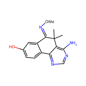 CON=C1c2cc(O)ccc2-c2ncnc(N)c2C1(C)C